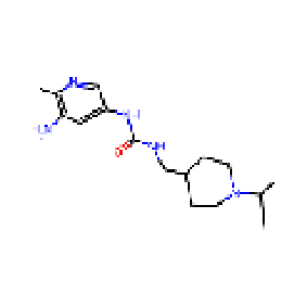 Cc1ncc(NC(=O)NCC2CCN(C(C)C)CC2)cc1N